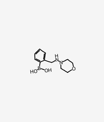 OB(O)c1ccccc1CNN1CCOCC1